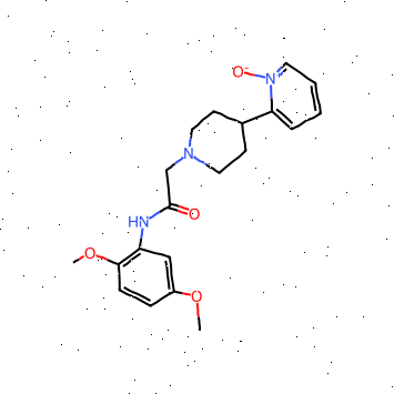 COc1ccc(OC)c(NC(=O)CN2CCC(c3cccc[n+]3[O-])CC2)c1